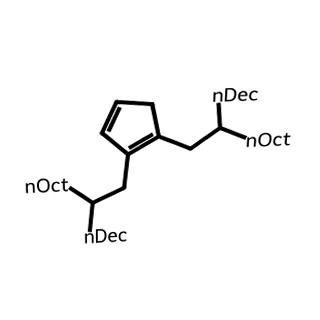 CCCCCCCCCCC(CCCCCCCC)CC1=C(CC(CCCCCCCC)CCCCCCCCCC)CC=C1